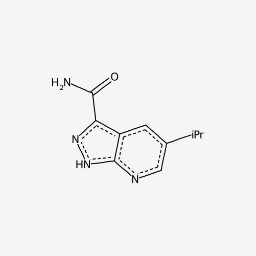 CC(C)c1cnc2[nH]nc(C(N)=O)c2c1